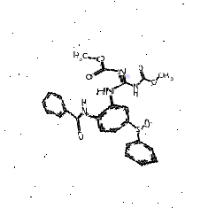 COC(=O)/N=C(/NC(=O)OC)Nc1cc([S+]([O-])c2ccccc2)ccc1NC(=O)c1ccccc1